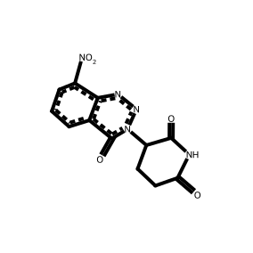 O=C1CCC(n2nnc3c([N+](=O)[O-])cccc3c2=O)C(=O)N1